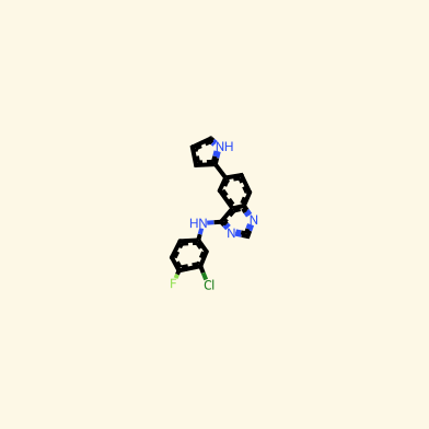 Fc1ccc(Nc2ncnc3ccc(-c4ccc[nH]4)cc23)cc1Cl